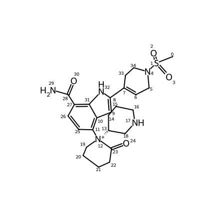 CS(=O)(=O)N1CC=C(c2cc3c([N@+]4(C5CCCNC5)CCCCC4=O)ccc(C(N)=O)c3[nH]2)CC1